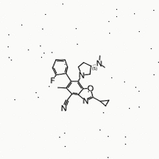 Cc1c(-c2ccccc2F)c(N2CC[C@H](N(C)C)C2)c2oc(C3CC3)nc2c1C#N